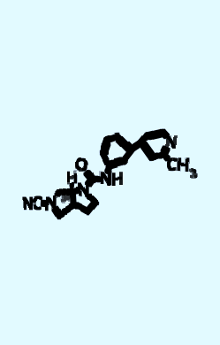 Cc1cc(-c2cccc(NC(=O)N3CCC4CN(C#N)C[C@@H]43)c2)ccn1